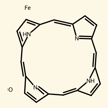 C1=Cc2cc3ccc(cc4nc(cc5ccc(cc1n2)[nH]5)C=C4)[nH]3.[Fe].[O]